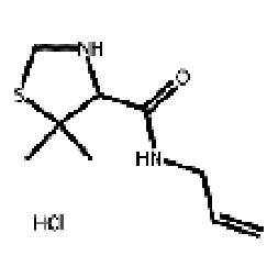 C=CCNC(=O)C1NCSC1(C)C.Cl